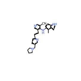 Cc1c(Nc2c(C#N)cncc2C=Cc2ccc(CN3CCCC3)cn2)ccc2[nH]ccc12